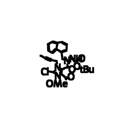 CC#CCn1c(Cl)nc(C(=O)OC)c1C(=O)N(Cc1cccc2ccccc12)NC(=O)OC(C)(C)C